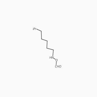 CC(C)CCCCCNOC=O